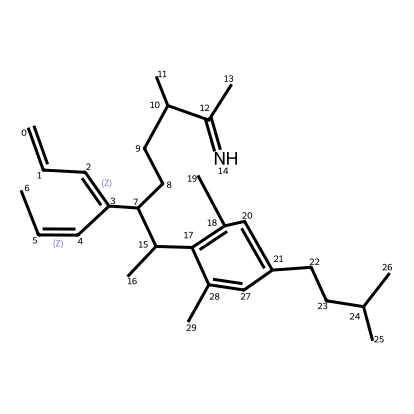 C=C/C=C(\C=C/C)C(CCC(C)C(C)=N)C(C)c1c(C)cc(CCC(C)C)cc1C